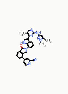 Cc1cnc(Nc2cc(C)n(C)n2)nc1-c1c[nH]c2c(N3Cc4c(cccc4-c4ccnc(C#N)c4)C3=O)cccc12